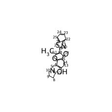 Cc1oc2c(CN3CCCC3)c(O)ccc2c(=O)c1-c1nc2ccccc2s1